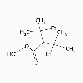 CCC(C)(C)C(C(=O)OO)C(C)(C)CC